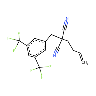 C=CCCC(C#N)(C#N)Cc1cc(C(F)(F)F)cc(C(F)(F)F)c1